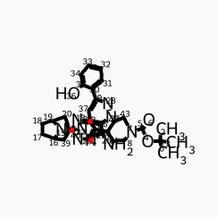 CC(C)(C)OC(=O)N1CCC(c2cnc(N3C4CCC3CC(n3nc(N)c5nnc(-c6ccccc6O)cc53)C4)nc2)CC1